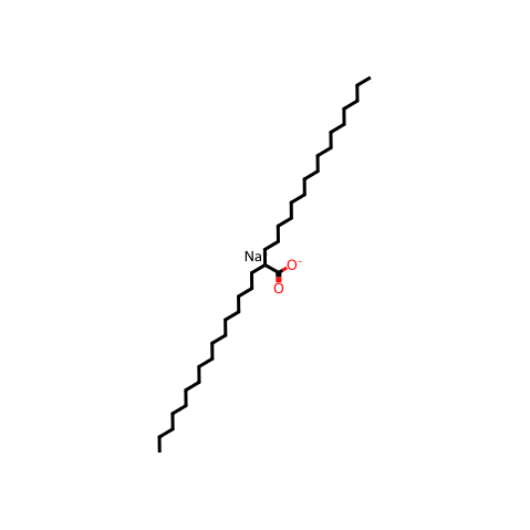 CCCCCCCCCCCCCCCCC(CCCCCCCCCCCCCCCC)C(=O)[O-].[Na+]